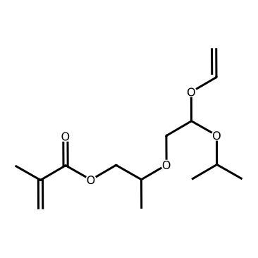 C=COC(COC(C)COC(=O)C(=C)C)OC(C)C